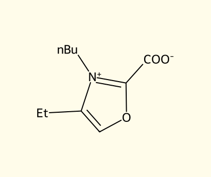 CCCC[n+]1c(CC)coc1C(=O)[O-]